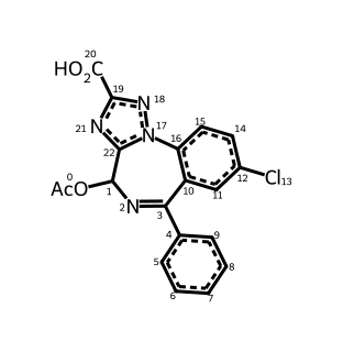 CC(=O)OC1N=C(c2ccccc2)c2cc(Cl)ccc2-n2nc(C(=O)O)nc21